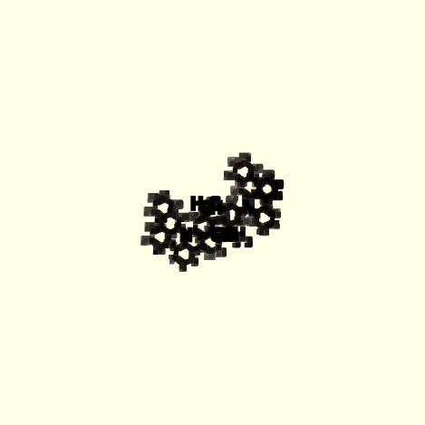 Cc1cc(N(c2ccccc2-c2ccccc2)c2cc3ccccc3c3ccccc23)cc(C)c1-c1c(C)cc(N(c2ccccc2-c2ccccc2)c2cc3ccccc3c3ccccc23)cc1C